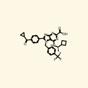 C[C@@H](Nc1nc(C(=O)O)nc2nc(-c3ccc(C(=O)C4CC4)cc3)n(Cc3ccc(C(F)(F)F)cc3)c12)C1CCC1